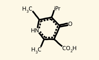 Cc1[nH]c(C)c(C(C)C)c(=O)c1C(=O)O